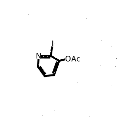 CC(=O)Oc1cccnc1I